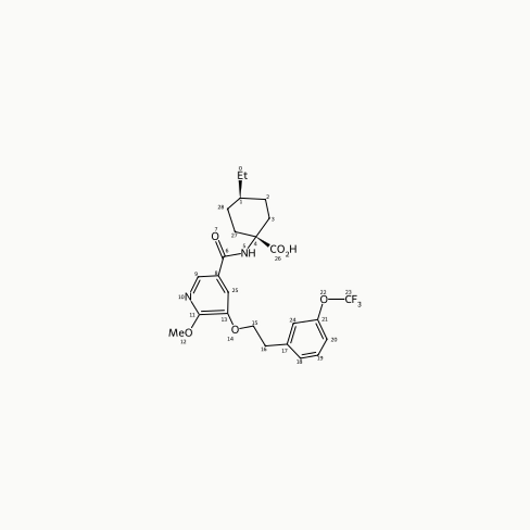 CC[C@H]1CC[C@@](NC(=O)c2cnc(OC)c(OCCc3cccc(OC(F)(F)F)c3)c2)(C(=O)O)CC1